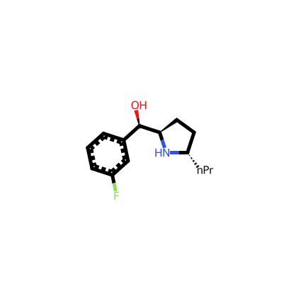 CCC[C@H]1CC[C@H]([C@H](O)c2cccc(F)c2)N1